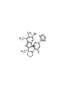 Cc1c(Br)cc2[nH]c([C@]3(C)CCCN3c3ccc(-n4nccn4)[c]c3F)nc2c1C